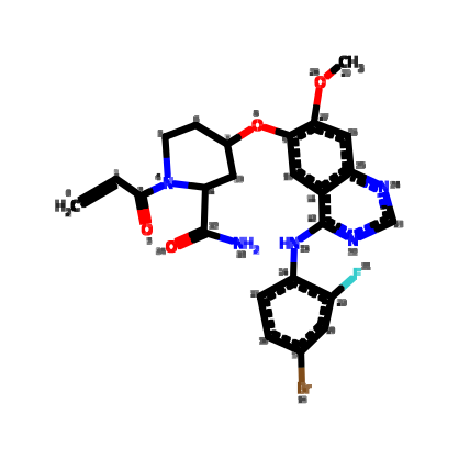 C=CC(=O)N1CCC(Oc2cc3c(Nc4ccc(Br)cc4F)ncnc3cc2OC)CC1C(N)=O